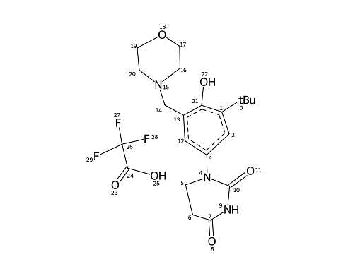 CC(C)(C)c1cc(N2CCC(=O)NC2=O)cc(CN2CCOCC2)c1O.O=C(O)C(F)(F)F